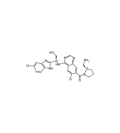 NC[C@H]1CCCN1C(=O)c1cc2ncnc(N[C@H](CO)c3nc4cc(Cl)ccc4[nH]3)c2cc1Cl